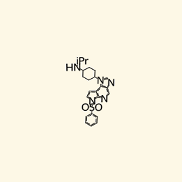 CC(C)NC1CCC(n2cnc3cnc4c(ccn4S(=O)(=O)c4ccccc4)c32)CC1